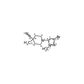 Cn1nc(Br)cc1N1CCC(C)(C#N)CC1